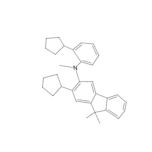 CN(c1ccccc1C1CCCC1)c1cc2c(cc1C1CCCC1)C(C)(C)c1ccccc1-2